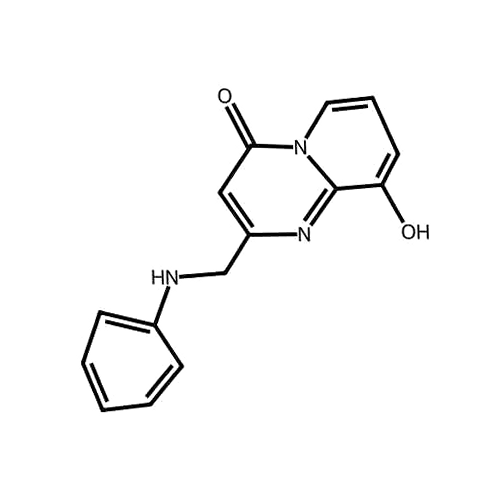 O=c1cc(CNc2ccccc2)nc2c(O)cccn12